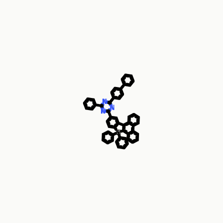 c1ccc(-c2ccc(-c3nc(-c4ccccc4)nc(-c4ccc5c(c4)-c4c(c6ccccc6c6ccccc46)[Si]5(c4ccccc4)c4ccccc4)n3)cc2)cc1